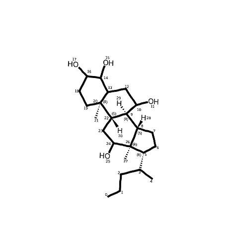 CCCC(C)[C@H]1CC[C@H]2[C@@H]3C(O)CC4C(O)C(O)CC[C@]4(C)[C@H]3CC(O)[C@]12C